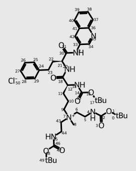 CC(C)(C)OC(=O)NCC[N+](C)(CCC[C@H](NC(=O)OC(C)(C)C)C(=O)N[C@@H](CCc1ccccc1)C(=O)Nc1cnc2ccccc2c1)CCNC(=O)OC(C)(C)C.[Cl-]